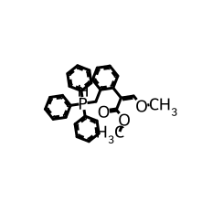 COC=C(C(=O)OC)c1ccccc1C[PH](c1ccccc1)(c1ccccc1)c1ccccc1